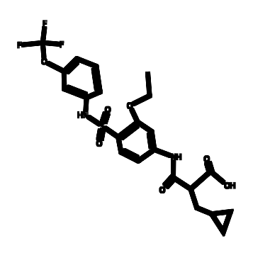 CCOc1cc(NC(=O)C(CC2CC2)C(=O)O)ccc1S(=O)(=O)Nc1cccc(OC(F)(F)F)c1